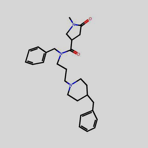 CN1CC(C(=O)N(CCCN2CCC(Cc3ccccc3)CC2)Cc2ccccc2)CC1=O